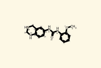 COc1ccccc1NC(=O)Nc1ccc2c(c1)CNCN2